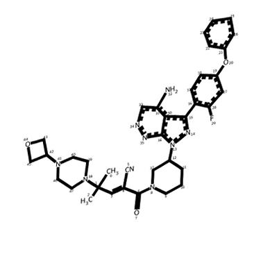 CC(C)(/C=C(\C#N)C(=O)N1CCCC(n2nc(-c3ccc(Oc4ccccc4)cc3F)c3c(N)cnnc32)C1)N1CCN(C2COC2)CC1